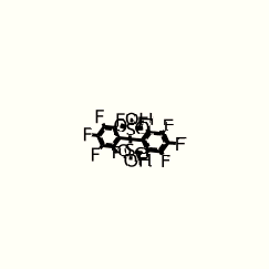 O=S(=O)(O)C(c1c(F)c(F)c(F)c(F)c1F)(c1c(F)c(F)c(F)c(F)c1F)S(=O)(=O)O